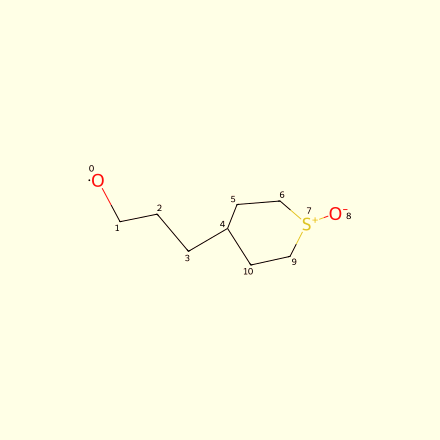 [O]CCCC1CC[S+]([O-])CC1